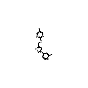 Cc1cnc(OCc2cn(-c3ccnc(C)c3)nn2)nc1